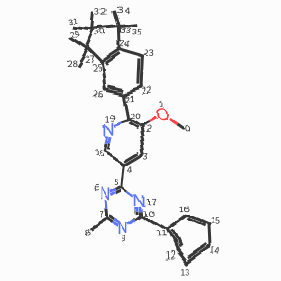 COc1cc(-c2nc(C)nc(-c3ccccc3)n2)cnc1-c1ccc2c(c1)C(C)(C)C(C)(C)C2(C)C